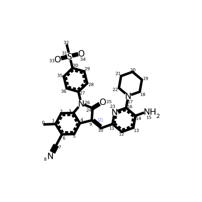 Cc1cc2c(cc1C#N)/C(=C/c1ccc(N)c(N3CCCCC3)n1)C(=O)N2c1ccc(S(C)(=O)=O)cc1